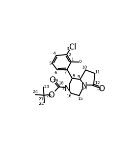 Cc1c(Cl)cccc1C1C2CCC(=O)N2CCN1C(=O)OC(C)(C)C